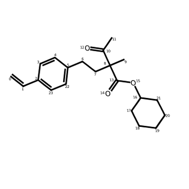 C=Cc1ccc(CCC(C)(C(C)=O)C(=O)OC2CCCCC2)cc1